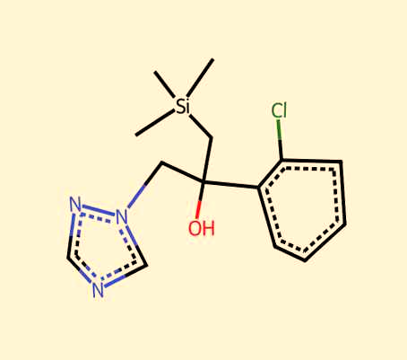 C[Si](C)(C)CC(O)(Cn1cncn1)c1ccccc1Cl